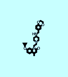 Cc1cc(=O)n(CCN2CCC(NCc3ccc4c(c3)OCCO4)CC2)c2cc(OC3CC3)ccc12